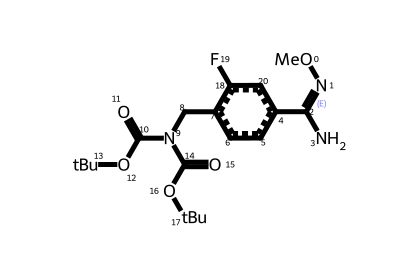 CO/N=C(/N)c1ccc(CN(C(=O)OC(C)(C)C)C(=O)OC(C)(C)C)c(F)c1